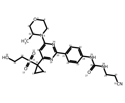 C[C@H]1COCCN1c1cc(C2(S(=O)(=O)CCO)CC2)nc(-c2ccc(NC(=O)NCCC#N)cc2)n1